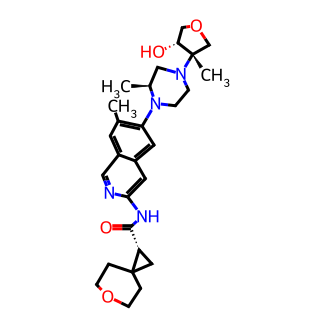 Cc1cc2cnc(NC(=O)[C@@H]3CC34CCOCC4)cc2cc1N1CCN([C@@]2(C)COC[C@H]2O)C[C@@H]1C